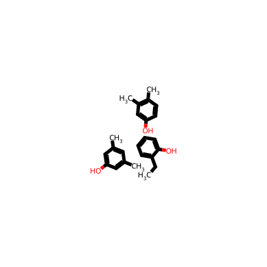 CCc1ccccc1O.Cc1cc(C)cc(O)c1.Cc1ccc(O)cc1C